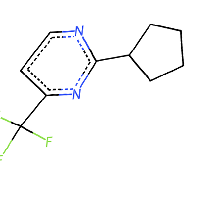 FC(F)(F)c1ccnc(C2CCCC2)n1